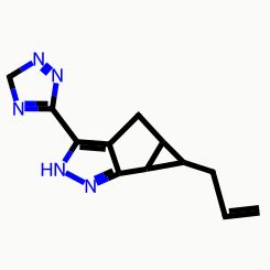 C=CCC1C2Cc3c(n[nH]c3C3=NCN=N3)C12